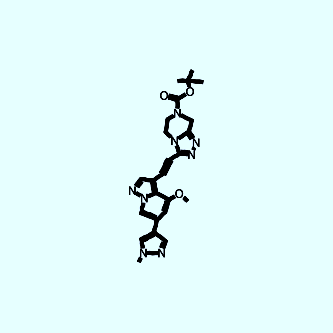 COc1cc(-c2cnn(C)c2)cn2ncc(C#Cc3nnc4n3CCN(C(=O)OC(C)(C)C)C4)c12